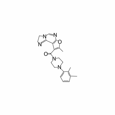 Cc1cccc(N2CCN(C(=O)c3c(C)oc4c3C3=NCCN3C=N4)CC2)c1C